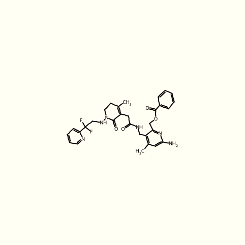 CC1=C(CC(=O)NCc2c(C)cc(N)nc2COC(=O)c2ccccc2)C(=O)N(NCC(F)(F)c2ccccn2)CC1